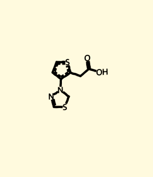 O=C(O)Cc1sccc1N1CSC=N1